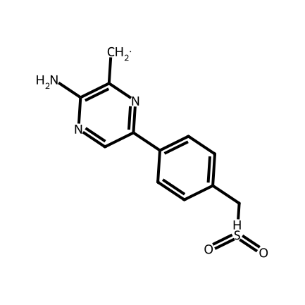 [CH2]c1nc(-c2ccc(C[SH](=O)=O)cc2)cnc1N